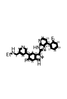 CCNCc1cncc(-c2cc3c(-c4nc5c(-c6ccccc6F)ccnc5[nH]4)n[nH]c3cc2F)c1